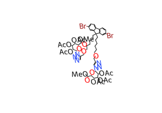 COC(=O)C1OC(n2cc(COCCCCCCC3(CCCCCCOCc4cnnn4C4OC(C(=O)OC)C(OC(C)=O)C(OC(C)=O)C4OC(C)=O)c4cc(Br)ccc4-c4ccc(Br)cc43)nn2)C(OC(C)=O)C(OC(C)=O)C1OC(C)=O